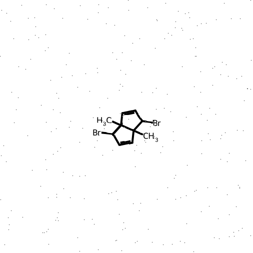 CC12C=CC(Br)C1(C)C=CC2Br